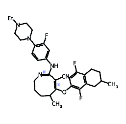 CCN1CCN(c2ccc(NC3=N/CCCC(C)/C(Oc4cc(F)c5c(c4F)CC(C)CC5)=C\3C#N)cc2F)CC1